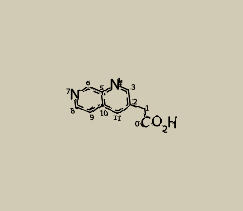 O=C(O)Cc1cnc2cnccc2c1